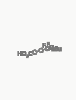 CCCCOc1ccc(C2CCC(C3CCC(C(=O)O)CC3)CC2)c(F)c1F